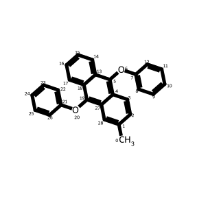 Cc1ccc2c(Oc3ccccc3)c3ccccc3c(Oc3ccccc3)c2c1